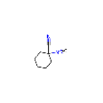 [C-]#[N+]C1(C#N)CCCCC1